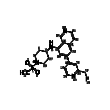 CS(=O)(=O)N1CCC(Nc2cc(-c3ccnc(CF)c3)cc3ccncc23)CC1